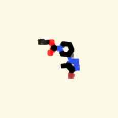 Cc1c(Br)nnn1[C@@H]1CCCN(C(=O)OC(C)(C)C)C1